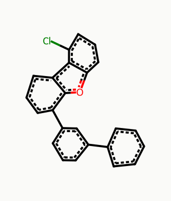 Clc1cccc2oc3c(-c4cccc(-c5ccccc5)c4)cccc3c12